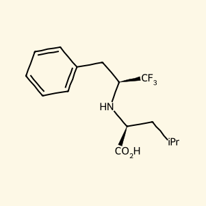 CC(C)C[C@H](N[C@@H](Cc1ccccc1)C(F)(F)F)C(=O)O